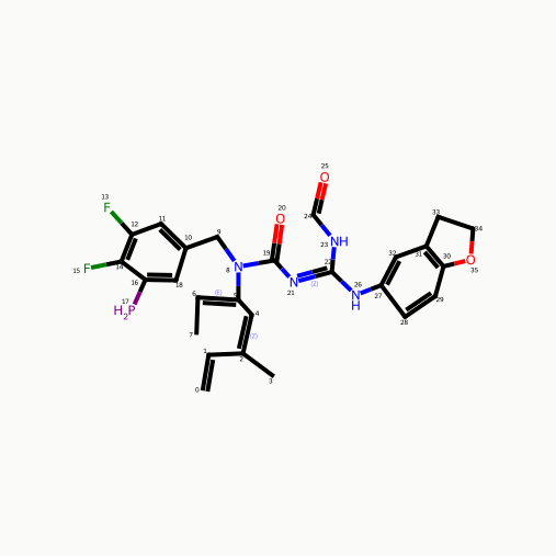 C=C/C(C)=C\C(=C/C)N(Cc1cc(F)c(F)c(P)c1)C(=O)/N=C(\NC=O)Nc1ccc2c(c1)CCO2